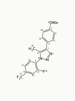 COc1ccc(-c2nnn(-c3ccc(C(F)(F)F)cc3F)c2C)cc1